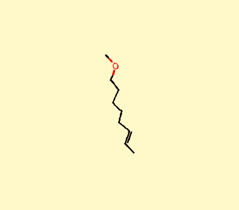 C/C=C/CCCCCOC